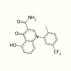 Cc1ccc(C(F)(F)F)cc1-n1cc(C(N)=O)c(=O)c2c(O)cccc21